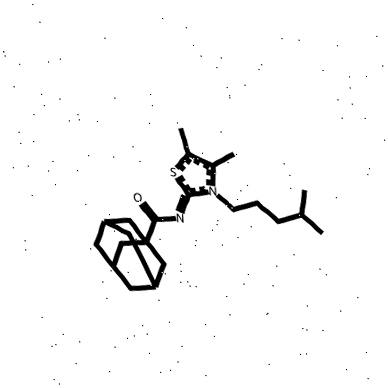 Cc1sc(=NC(=O)C23CC4CC(CC(C4)C2)C3)n(CCCC(C)C)c1C